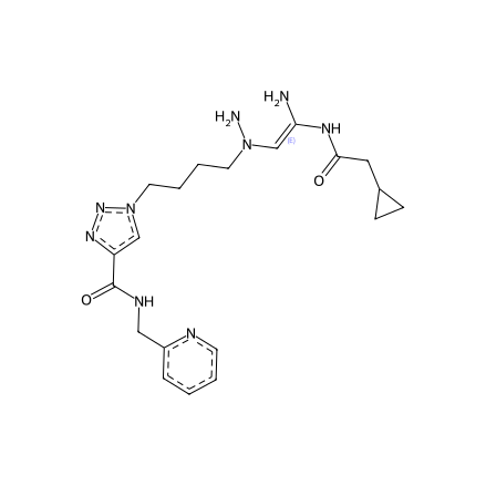 N/C(=C\N(N)CCCCn1cc(C(=O)NCc2ccccn2)nn1)NC(=O)CC1CC1